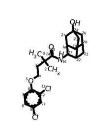 CC(C)(CCOc1ccc(Cl)cc1Cl)C(=O)NC1C2CC3CC1CC(O)(C3)C2